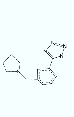 c1cc(CN2CCCC2)cc(C2=NN=N[N]2)c1